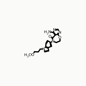 COCCCn1ccc2cc(N3CCOc4ncnc(N)c4C3=O)ccc21